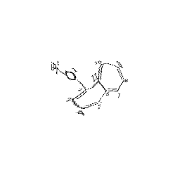 CC(C)Oc1cc[c]c2ccccc12